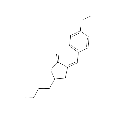 CCCCC1CC(=Cc2ccc(OC)cc2)C(=O)O1